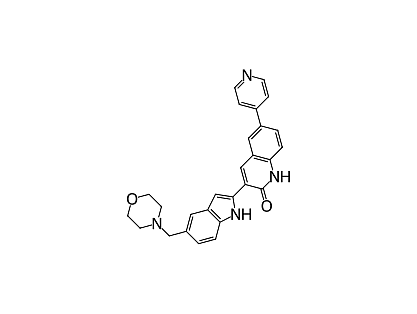 O=c1[nH]c2ccc(-c3ccncc3)cc2cc1-c1cc2cc(CN3CCOCC3)ccc2[nH]1